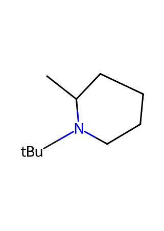 CC1CCCCN1C(C)(C)C